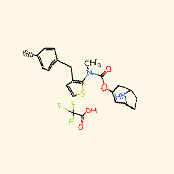 CN(C(=O)OC1CC2CCC(C1)N2)c1sccc1Cc1ccc(C(C)(C)C)cc1.O=C(O)C(F)(F)F